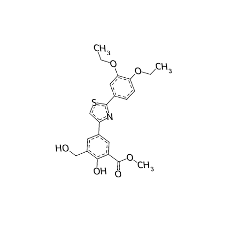 CCOc1ccc(-c2nc(-c3cc(CO)c(O)c(C(=O)OC)c3)cs2)cc1OCC